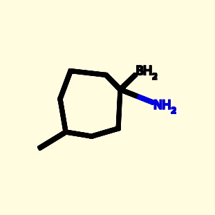 BC1(N)CCCC(C)CC1